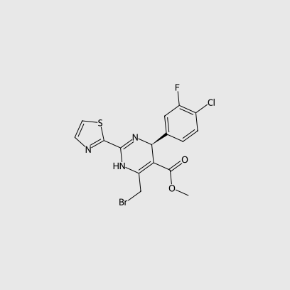 COC(=O)C1=C(CBr)NC(c2nccs2)=N[C@H]1c1ccc(Cl)c(F)c1